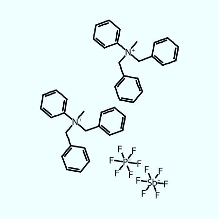 C[N+](Cc1ccccc1)(Cc1ccccc1)c1ccccc1.C[N+](Cc1ccccc1)(Cc1ccccc1)c1ccccc1.F[P-](F)(F)(F)(F)F.[F][Sb-]([F])([F])([F])([F])[F]